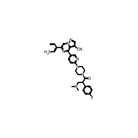 C=C/C(=C\N)c1cn2ncc(C#N)c2c(-c2ccc(N3CCN(C(=O)C(CN(C)C)c4ccc(F)cc4)CC3)nc2)n1